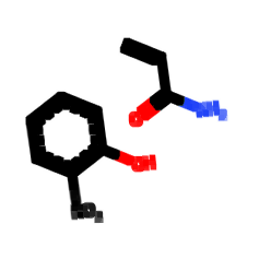 C=CC(N)=O.O=[N+]([O-])c1ccccc1O